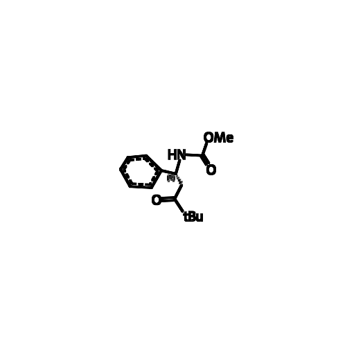 COC(=O)N[C@H](CC(=O)C(C)(C)C)c1ccccc1